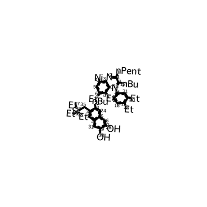 CCCCCC(=Nc1ccc(CC)c(CC)c1)C(CCCC)=Nc1ccc(CC)c(CC)c1.CCCCc1cc2cc(O)c(O)cc2cc1C[Si](CC)(CC)CC.[Ni]